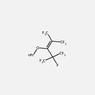 CCCOC(=C(C(F)(F)F)C(F)(F)F)C(F)(C(F)(F)F)C(F)(F)F